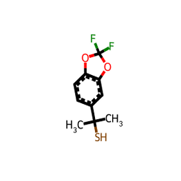 CC(C)(S)c1ccc2c(c1)OC(F)(F)O2